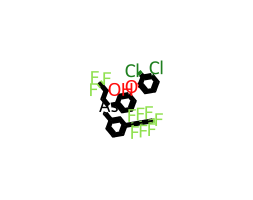 O[C@@H](C[As](Cc1cccc(C(F)(F)C(F)(F)C(F)(F)F)c1)c1cccc(Oc2cccc(Cl)c2Cl)c1)C(F)(F)F